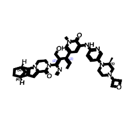 C=N/C(=C(CO)\C(=C/C)c1cc(Nc2ccc(N3CCN(C4COC4)C[C@@H]3C)cn2)c(=O)n(C)c1)N1CCn2c(cc3c2[C@H]2CC[C@@H]3C2)C1=O